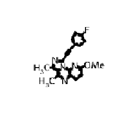 COc1ccc2nc(C)c3c(C)nc(C#Cc4ccc(F)cc4)n3c2n1